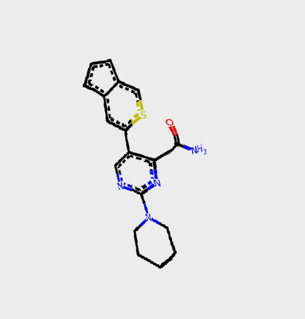 NC(=O)c1nc(N2CCCCC2)ncc1-c1cc2cccc-2cs1